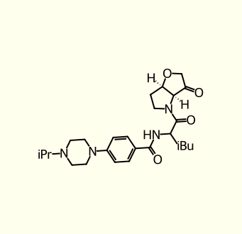 CCC(C)C(NC(=O)c1ccc(N2CCN(C(C)C)CC2)cc1)C(=O)N1CC[C@H]2OCC(=O)[C@H]21